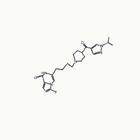 CC(C)n1cc(C(=O)C2CCN(CCCCc3cn4c(F)ccc4c(=O)[nH]3)CC2)cn1